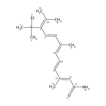 CCC(C)(C)C(C=CC(C)=CC=CC(C)=CC(N)=O)=C(C)C